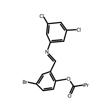 CC(C)C(=O)Oc1ccc(Br)cc1C=Nc1cc(Cl)cc(Cl)c1